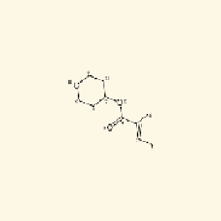 [CH2]/C(=C\C)C(=O)OC1CCOCC1